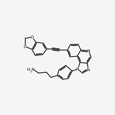 NCCCc1ccc(-n2cnc3cnc4ccc(C#Cc5ccc6c(c5)OCO6)cc4c32)cc1